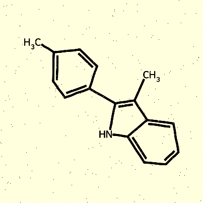 Cc1ccc(-c2[nH]c3ccccc3c2C)cc1